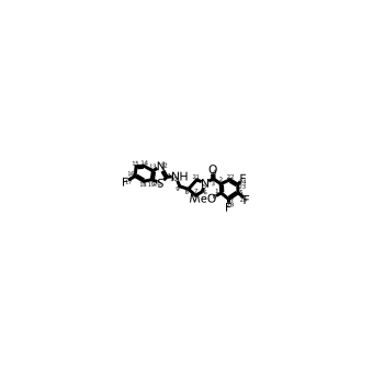 COc1c(C(=O)N2CCC(CNc3nc4ccc(F)cc4s3)C2)cc(F)c(F)c1F